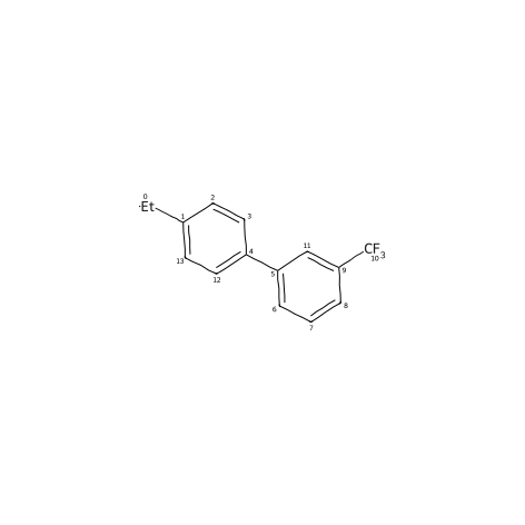 C[CH]c1ccc(-c2cccc(C(F)(F)F)c2)cc1